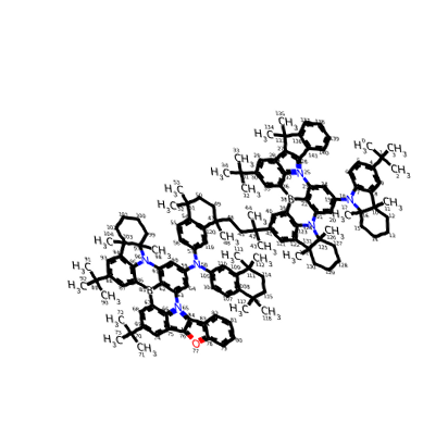 CC(C)(C)c1ccc2c(c1)C1(C)CCCCC1(C)N2c1cc2c3c(c1)-n1c4c(c5cc(C(C)(C)C)cc(c51)B3c1cc(C(C)(C)CCC3(C)CCC(C)(C)c5ccc(N(c6cc7c8c(c6)-n6c9c(cc(C(C)(C)C)cc9c9oc%10ccccc%10c96)B8c6cc(C(C)(C)C)cc8c6N7C6(C)CCCCC86C)c6ccc7c(c6)C(C)(C)CCC7(C)C)cc53)cc3c1N2C1(C)CCCCC31C)C(C)(C)c1ccccc1-4